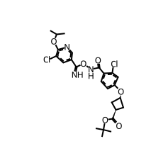 CC(C)Oc1ncc(C(=N)ONC(=O)c2ccc(O[C@H]3C[C@H](C(=O)OC(C)(C)C)C3)cc2Cl)cc1Cl